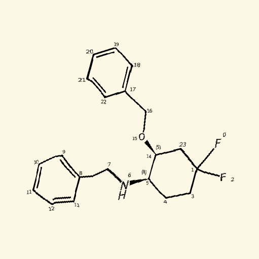 FC1(F)CC[C@@H](NCc2ccccc2)[C@@H](OCc2ccccc2)C1